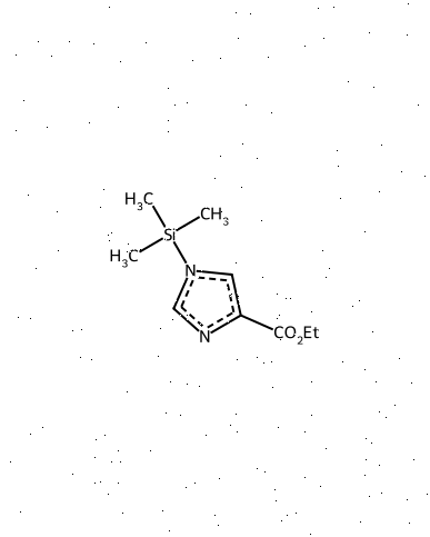 CCOC(=O)c1cn([Si](C)(C)C)cn1